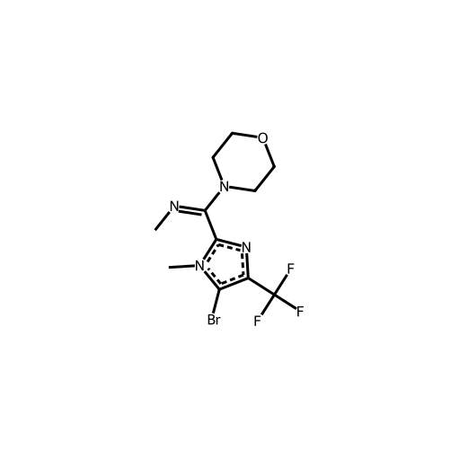 C/N=C(\c1nc(C(F)(F)F)c(Br)n1C)N1CCOCC1